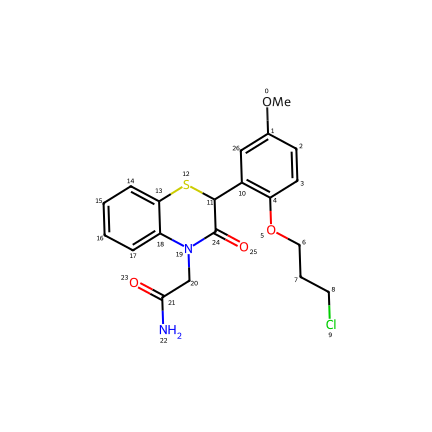 COc1ccc(OCCCCl)c(C2Sc3ccccc3N(CC(N)=O)C2=O)c1